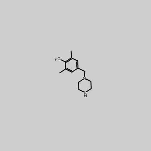 Cc1cc(CN2CCNCC2)cc(C)c1O